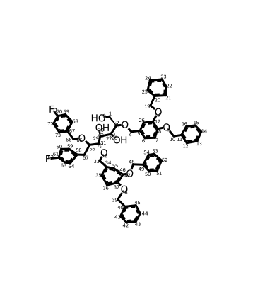 OC[C@@H](OCc1ccc(OCc2ccccc2)c(OCc2ccccc2)c1)[C@@H](O)[C@H](O)[C@H](OCc1ccc(OCc2ccccc2)c(OCc2ccccc2)c1)C(Cc1ccc(F)cc1)OCc1ccc(F)cc1